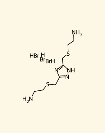 Br.Br.Br.NCCSCc1n[nH]c(CSCCN)n1